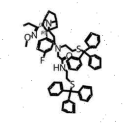 CCC(=NOC)[C@@H]1C2CCC(C[C@H]1c1ccc(F)cc1)N2CCCN(CCSC(c1ccccc1)(c1ccccc1)c1ccccc1)CC(=O)NCCSC(c1ccccc1)(c1ccccc1)c1ccccc1